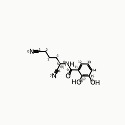 N#CCCC[C@H](C#N)NC(=O)c1cccc(O)c1O